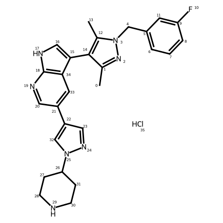 Cc1nn(Cc2cccc(F)c2)c(C)c1-c1c[nH]c2ncc(-c3cnn(C4CCNCC4)c3)cc12.Cl